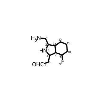 NCC1NC(CC=O)C2C(F)CCCC12